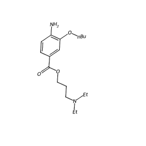 CCCCOc1cc(C(=O)OCCCN(CC)CC)ccc1N